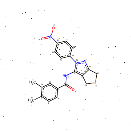 Cc1ccc(C(=O)Nc2c3c(nn2-c2ccc([N+](=O)[O-])cc2)CSC3)cc1C